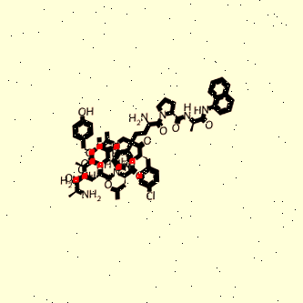 CC(C)C[C@H](NC(=O)[C@@H](CC(N)=O)NC(=O)[C@H](Cc1ccc(O)cc1)N(C)C(=O)[C@H](CO)NC(=O)[C@H](C)NC(=O)[C@H](C)N)C(=O)N[C@@H](Cc1ccc(Cl)cc1)C(=O)C(CC[C@H](N)C(=O)N1CCC[C@H]1C(=O)N[C@H](C)C(=O)Nc1cccc2ccccc12)(CNC(C)C)c1cccnc1